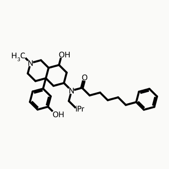 CC(C)CN(C(=O)CCCCCc1ccccc1)C1CC(O)C2CN(C)CCC2(c2cccc(O)c2)C1